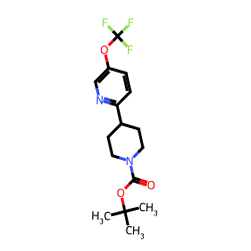 CC(C)(C)OC(=O)N1CCC(c2ccc(OC(F)(F)F)cn2)CC1